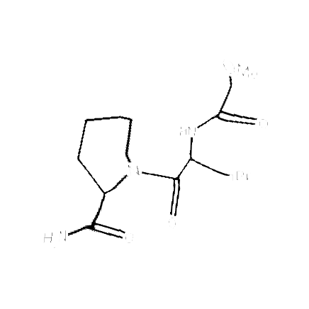 COC(=O)NC(C(=O)N1CCCC1C(N)=O)C(C)C